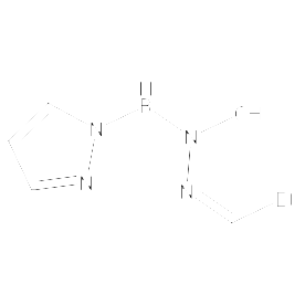 CC/C=N\N(C)Bn1cccn1